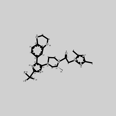 Cc1nc(C)n(CC(=O)N2CCN(c3sc(C(F)(F)F)nc3-c3ccc4c(c3)OCCO4)C[C@H]2C)n1